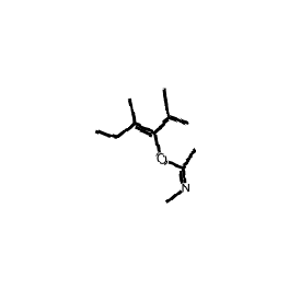 CC/C(C)=C(\O/C(C)=N\C)C(C)C